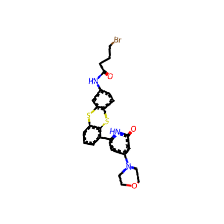 O=C(CCCBr)Nc1ccc2c(c1)Sc1cccc(-c3cc(N4CCOCC4)cc(=O)[nH]3)c1S2